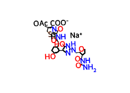 CC(=O)OCC1=C(C(=O)[O-])N2C(=O)C(NC(=O)Cc3ccc(O)cc3-c3cnc(NCc4occc4C(=O)NC(N)=O)nc3O)[C@@H]2SC1.[Na+]